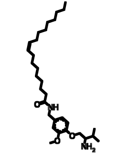 CCCCCCCC/C=C\CCCCCCCC(=O)NCc1ccc(OCC(N)C(C)C)c(OC)c1